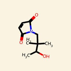 CC(O)C(C)(C)CN1C(=O)C=CC1=O